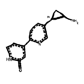 NC1C[C@@H]1c1ccc(-c2cc[nH]c(=O)c2)nc1